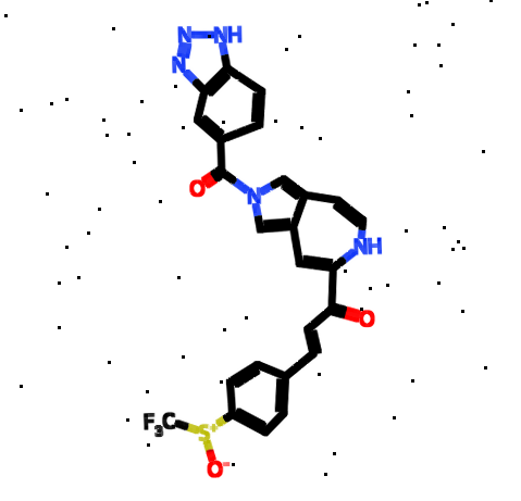 O=C(/C=C/c1ccc([S+]([O-])C(F)(F)F)cc1)C1=Cc2cn(C(=O)c3ccc4[nH]nnc4c3)cc2C=CN1